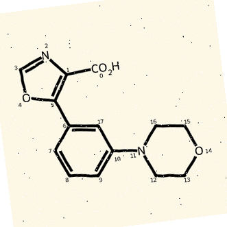 O=C(O)c1ncoc1-c1cccc(N2CCOCC2)c1